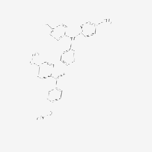 CCCOc1ccc(C(=Cc2ccc(N(c3ccc(C)cc3)c3ccc(C)cc3)cc2)c2ccc(OCCC)cc2)cc1